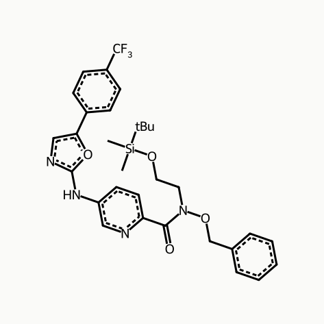 CC(C)(C)[Si](C)(C)OCCN(OCc1ccccc1)C(=O)c1ccc(Nc2ncc(-c3ccc(C(F)(F)F)cc3)o2)cn1